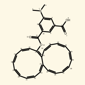 CN(C)c1cc(C(=O)O)cc(C(=O)Oc2cccccccccc3ccccccccccc2-3)c1